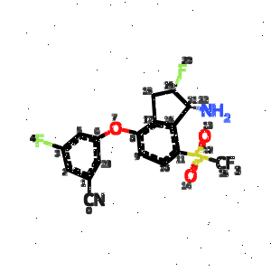 N#Cc1cc(F)cc(Oc2ccc(S(=O)(=O)C(F)(F)F)c3c2C[C@H](F)[C@@H]3N)c1